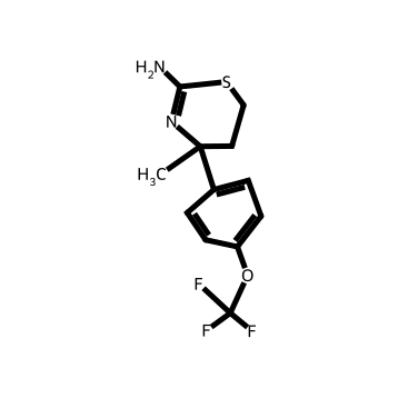 CC1(c2ccc(OC(F)(F)F)cc2)CCSC(N)=N1